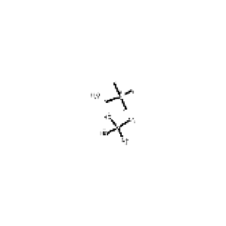 C[N+](C)(C)C.O.[O-][Si](O)(O)O